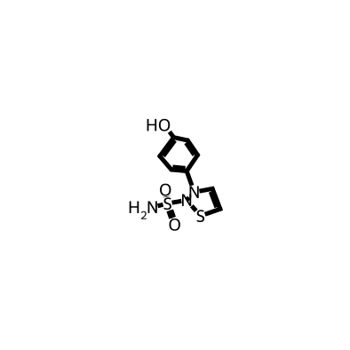 NS(=O)(=O)N1SC=CN1c1ccc(O)cc1